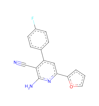 N#Cc1c(-c2ccc(F)cc2)cc(-c2ccco2)nc1N